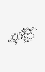 CN(C)C1CCCC2(OCCO2)C1N(C)C(=O)Cc1ccc(Cl)c(Cl)c1